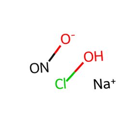 O=N[O-].OCl.[Na+]